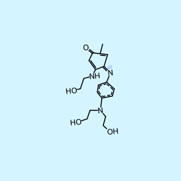 CC1=C/C(=N/c2ccc(N(CCO)CCO)cc2)C(NCCO)=CC1=O